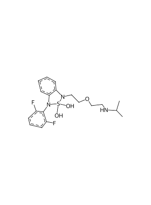 CC(C)NCCOCCN1c2ccccc2N(c2c(F)cccc2F)S1(O)O